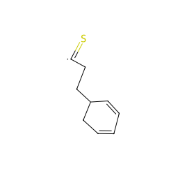 S=[C]CCC1C=CC=CC1